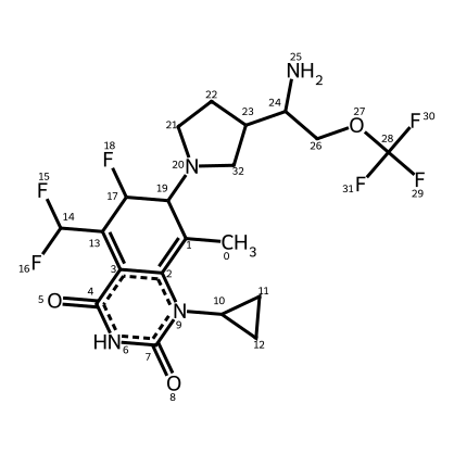 CC1=c2c(c(=O)[nH]c(=O)n2C2CC2)=C(C(F)F)C(F)C1N1CCC(C(N)COC(F)(F)F)C1